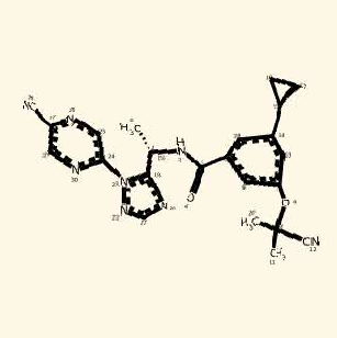 C[C@H](NC(=O)c1cc(OC(C)(C)C#N)cc(C2CC2)c1)c1ncnn1-c1cnc(C#N)cn1